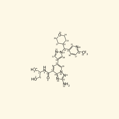 CC(CO)NC(=O)c1cc(-c2cnn(C(c3ccc(C(F)(F)F)nc3)C3CCOCC3)c2)cn2nc(N)nc12